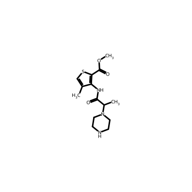 COC(=O)c1scc(C)c1NC(=O)C(C)N1CCNCC1